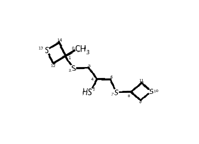 CC1(SCC(S)CSC2CSC2)CSC1